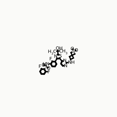 CC(C)(O)c1nc(-c2cccc(NS(=O)(=O)c3c(F)cccc3F)c2F)c(-c2ccnc(NC3CC4(C3)CS(=O)(=O)C4)n2)s1